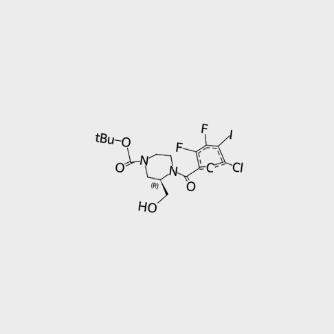 CC(C)(C)OC(=O)N1CCN(C(=O)c2cc(Cl)c(I)c(F)c2F)[C@@H](CO)C1